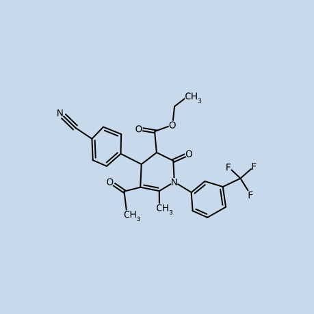 CCOC(=O)C1C(=O)N(c2cccc(C(F)(F)F)c2)C(C)=C(C(C)=O)C1c1ccc(C#N)cc1